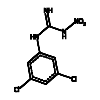 N=C(Nc1cc(Cl)cc(Cl)c1)N[N+](=O)[O-]